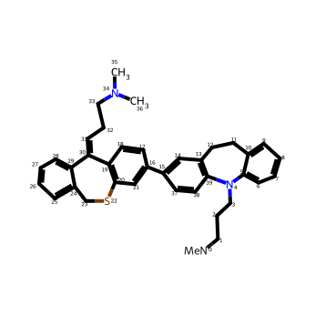 CNCCCN1c2ccccc2CCc2cc(-c3ccc4c(c3)SCc3ccccc3/C4=C/CCN(C)C)ccc21